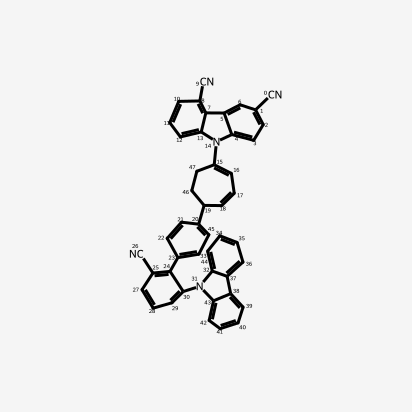 N#Cc1ccc2c(c1)c1c(C#N)cccc1n2C1=CC=CC(c2ccc(-c3c(C#N)cccc3-n3c4ccccc4c4ccccc43)cc2)CC1